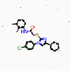 Cc1cccc(NC(=O)CSc2nc(-c3ccccc3)cn2-c2ccc(Cl)cc2)c1C